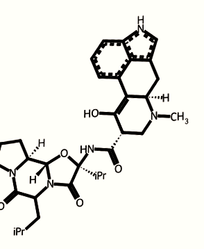 CC(C)CC1C(=O)N2CCC[C@H]2[C@@H]2O[C@](NC(=O)[C@H]3CN(C)[C@@H]4Cc5c[nH]c6cccc(c56)C4=C3O)(C(C)C)C(=O)N12